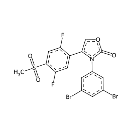 CS(=O)(=O)c1cc(F)c(-c2coc(=O)n2-c2cc(Br)cc(Br)c2)cc1F